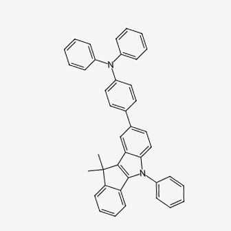 CC1(C)c2ccccc2-c2c1c1cc(-c3ccc(N(c4ccccc4)c4ccccc4)cc3)ccc1n2-c1ccccc1